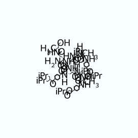 CC(C)CC(CC(C)C)C(=O)c1ccc(C(=O)N[C@@H](CCC(=O)N[C@H](C(=O)N[C@@H](C)C(=O)Nc2ccc(COC(=O)C(C)C)cc2)C(C)C)C(=O)N[C@@H](CCC(=O)N[C@H](C(=O)N[C@@H](C)C(=O)Nc2ccc(COC(=O)C(C)C)cc2)C(C)C)C(=O)N[C@@H](CCC(=O)NC(C)CCO)C(N)=O)cc1